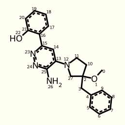 COC1(Cc2ccccc2)CCN(c2cc(-c3ccccc3O)nnc2N)C1